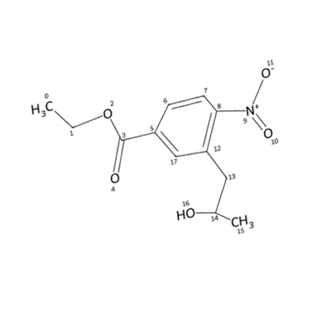 CCOC(=O)c1ccc([N+](=O)[O-])c(CC(C)O)c1